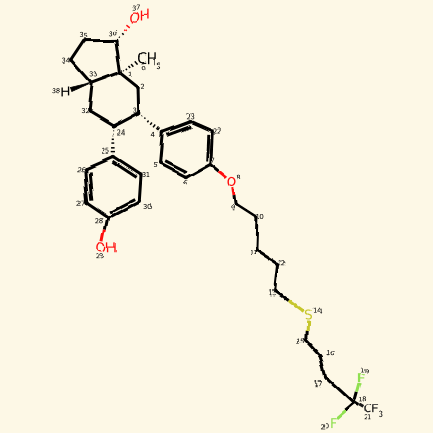 C[C@]12C[C@H](c3ccc(OCCCCCSCCCC(F)(F)C(F)(F)F)cc3)[C@H](c3ccc(O)cc3)C[C@@H]1CC[C@@H]2O